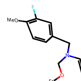 C=CN(COCC)Cc1ccc(OC)c(F)c1